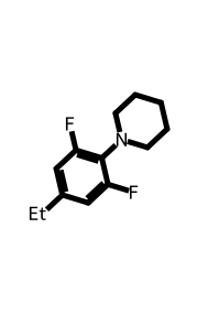 CCc1cc(F)c(N2CCCCC2)c(F)c1